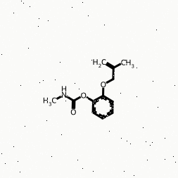 C=C(C)COc1ccccc1OC(=O)NC